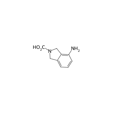 Nc1cccc2c1CN(C(=O)O)C2